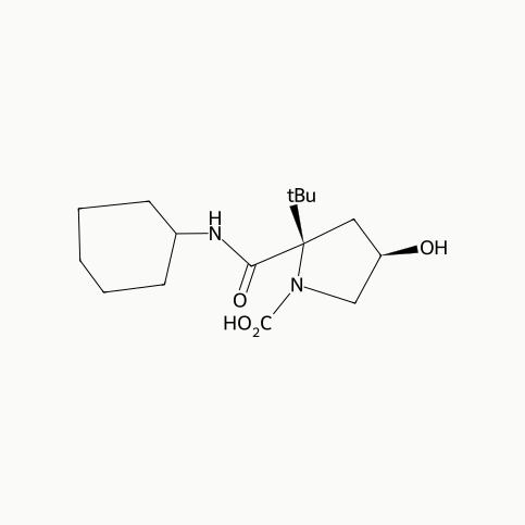 CC(C)(C)[C@@]1(C(=O)NC2CCCCC2)C[C@@H](O)CN1C(=O)O